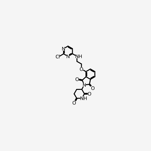 O=C1CCC(N2C(=O)c3cccc(OCCNc4ccnc(Cl)n4)c3C2=O)C(=O)N1